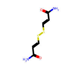 NC(=O)C=CSSC=CC(N)=O